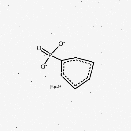 O=P([O-])([O-])c1ccccc1.[Fe+2]